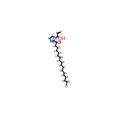 C=CC(O)N1CCN=C1C(=O)CCCCCCCCCCCCCCCCC